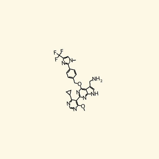 COc1ncnc(C2CC2)c1-c1nc(OCc2ccc(-c3nc(C(F)(F)F)cn3C)cc2)c2c(CN)c[nH]c2n1